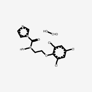 CCCN(CCOc1c(Cl)cc(Cl)cc1Cl)C(=O)n1ccnc1.O=CO